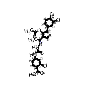 CC(=O)Oc1c(/C(C)=N/NC(=S)Nc2ccc(C(=O)O)c(Cl)c2)csc1-c1ccc(Cl)c(Cl)c1